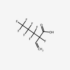 C=CC(F)(C(=O)O)C(F)(F)C(F)(F)C(F)(F)F